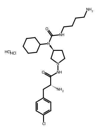 Cl.Cl.NCCCCNC(=O)N(C1CCCCC1)[C@H]1CCN(NC(=O)[C@H](N)Cc2ccc(Cl)cc2)C1